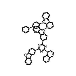 c1ccc(-c2ccc(-n3c4ccccc4c4cccc(-n5c6ccccc6c6cc(-c7nc(-c8ccc9oc%10ccccc%10c9c8)nc(-c8cccc9ccccc89)n7)ccc65)c43)cc2)cc1